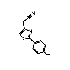 N#CCc1csc(-c2ccc(F)cc2)n1